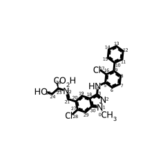 Cn1nc(Nc2cccc(-c3ccccc3)c2Cl)c2cc(C=N[C@@H](CO)C(=O)O)c(Cl)cc21